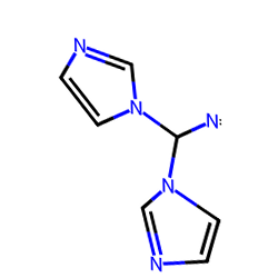 [N]C(n1ccnc1)n1ccnc1